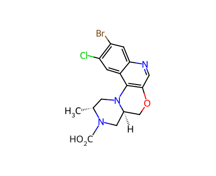 C[C@@H]1CN2c3c(cnc4cc(Br)c(Cl)cc34)OC[C@H]2CN1C(=O)O